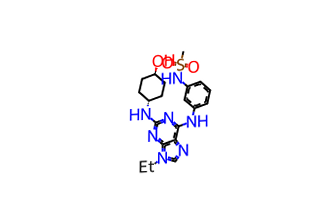 CCn1cnc2c(Nc3cccc(NS(C)(=O)=O)c3)nc(N[C@H]3CC[C@H](O)CC3)nc21